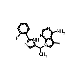 CC(c1cnc(-c2ccccc2F)[nH]1)n1cc(I)c2c(N)ncnc21